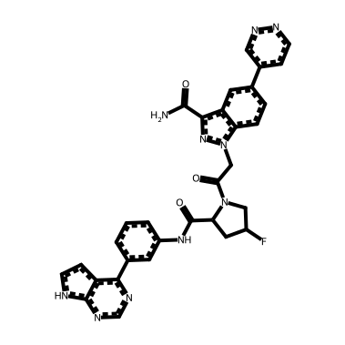 NC(=O)c1nn(CC(=O)N2CC(F)CC2C(=O)Nc2cccc(-c3ncnc4[nH]ccc34)c2)c2ccc(-c3ccnnc3)cc12